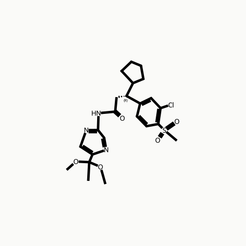 COC(C)(OC)c1cnc(NC(=O)C[C@@H](c2ccc(S(C)(=O)=O)c(Cl)c2)C2CCCC2)cn1